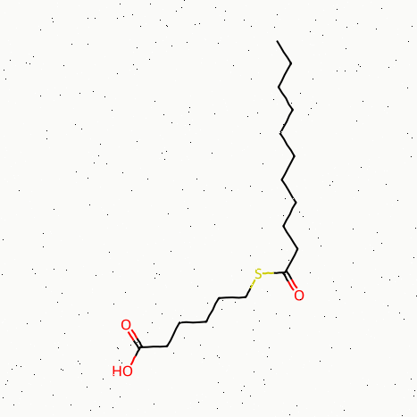 CCCCCCCCCCC(=O)SCCCCCC(=O)O